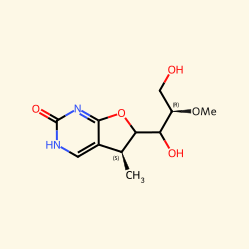 CO[C@H](CO)C(O)C1Oc2nc(=O)[nH]cc2[C@@H]1C